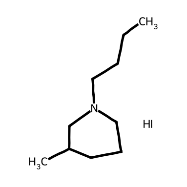 CCCCN1CCCC(C)C1.I